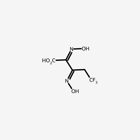 O=C(O)C(=NO)C(CC(F)(F)F)=NO